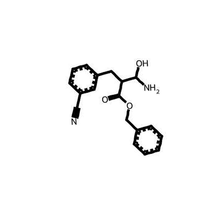 N#Cc1cccc(CC(C(=O)OCc2ccccc2)C(N)O)c1